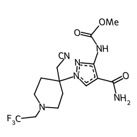 COC(=O)Nc1nn(C2(CC#N)CCN(CC(F)(F)F)CC2)cc1C(N)=O